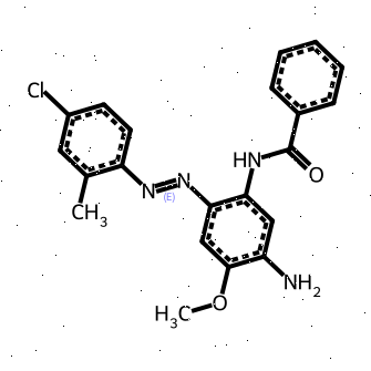 COc1cc(/N=N/c2ccc(Cl)cc2C)c(NC(=O)c2ccccc2)cc1N